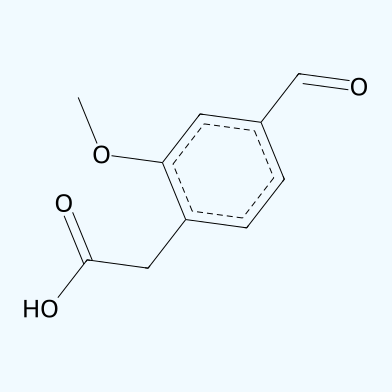 COc1cc(C=O)ccc1CC(=O)O